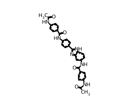 CC(=O)Nc1ccc(C(=O)Nc2ccc(-c3nc4cc(NC(=O)c5ccc(NC(C)=O)cc5)ccc4[nH]3)cc2)cc1